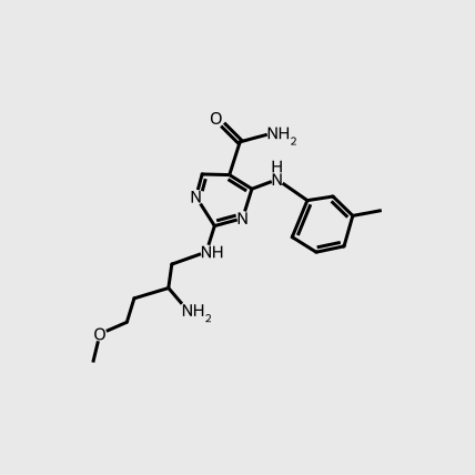 COCCC(N)CNc1ncc(C(N)=O)c(Nc2cccc(C)c2)n1